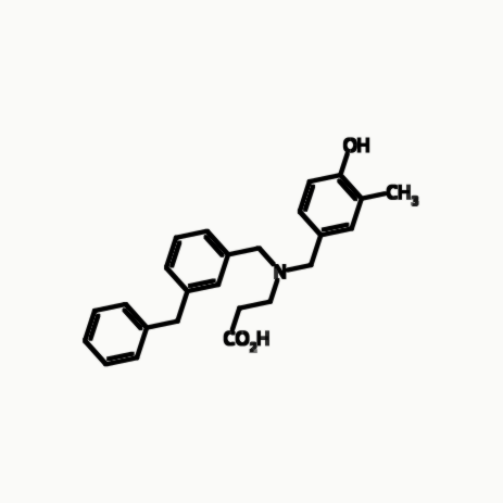 Cc1cc(CN(CCC(=O)O)Cc2cccc(Cc3ccccc3)c2)ccc1O